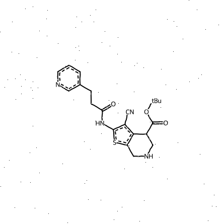 CC(C)(C)OC(=O)C1CNCc2sc(NC(=O)CCc3cccnc3)c(C#N)c21